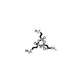 CCCP1(=O)OP(=O)(CCC)O[PH](O)(CCC)O1